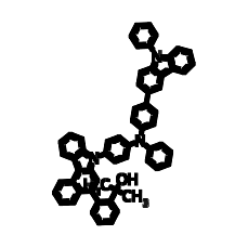 CC(C)(O)c1ccccc1-c1cc2c(c3ccccc13)c1ccccc1n2-c1ccc(N(c2ccccc2)c2ccc(-c3ccc4c(c3)c3ccccc3n4-c3ccccc3)cc2)cc1